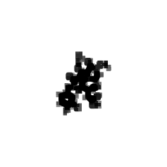 COc1c2n(c3c(C(C#N)CC(=O)O)nn(Cc4ccc(F)c(Cl)c4)c(=O)c13)CCN(C)C2=O